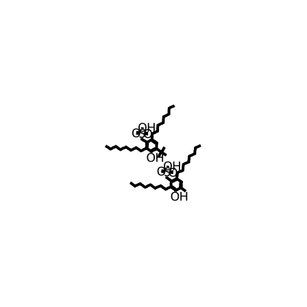 CCCCCCCCc1cc(C(C)(C)C)c(O)c(CCCCCCCC)c1CS(=O)(=O)O.CCCCCCCCc1cc(C)c(O)c(CCCCCCCC)c1CS(=O)(=O)O